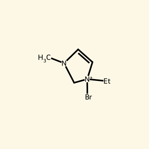 CC[N+]1(Br)C=CN(C)C1